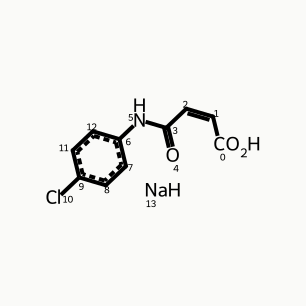 O=C(O)/C=C\C(=O)Nc1ccc(Cl)cc1.[NaH]